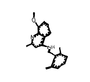 COc1cccc2c(NCc3c(C)cccc3C)cc(C)nc12